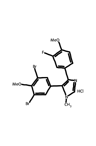 COc1ccc(-c2ncn(C)c2-c2cc(Br)c(OC)c(Br)c2)cc1F.Cl